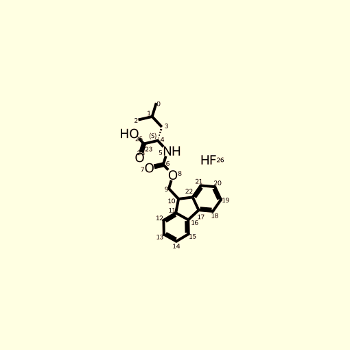 CC(C)C[C@H](NC(=O)OCC1c2ccccc2-c2ccccc21)C(=O)O.F